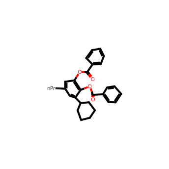 CCCc1cc(OC(=O)c2ccccc2)c(OC(=O)c2ccccc2)c(C2CCCCC2)c1